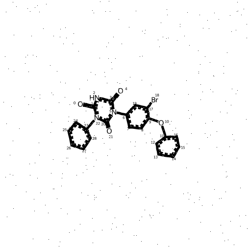 O=c1[nH]c(=O)n(-c2ccc(Oc3ccccc3)c(Br)c2)c(=O)n1-c1ccccc1